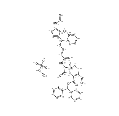 C=CC1=C(C(=O)OC(c2ccccc2)c2ccccc2)N2C(=O)C(NC(=O)C=NOC(c3csc(NC=O)n3)c3cccc[n+]3C)[C@@H]2SC1.COS(=O)(=O)[O-]